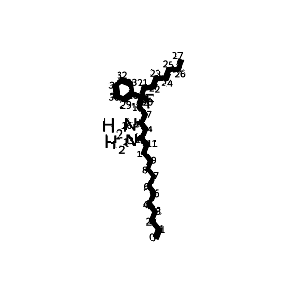 CCCCCCCCCCCCC(N)CC(N)CCC(F)(CCCCCCC)c1ccccc1